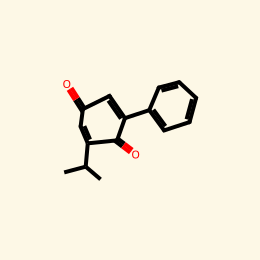 CC(C)C1=CC(=O)C=C(c2ccccc2)C1=O